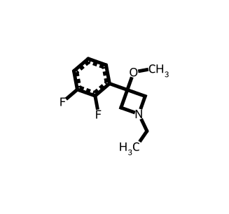 CCN1CC(OC)(c2cccc(F)c2F)C1